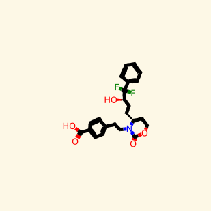 O=C(O)c1ccc(CCN2C(=O)OCC[C@@H]2CC[C@@H](O)C(F)(F)c2ccccc2)cc1